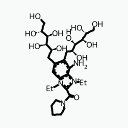 CCn1c(C(=O)N2CCCCC2)[n+](CC)c2c(N)c(C[C@H](O)[C@@H](O)[C@H](O)[C@H](O)CO)c(C[C@H](O)[C@@H](O)[C@H](O)[C@H](O)CO)cc21